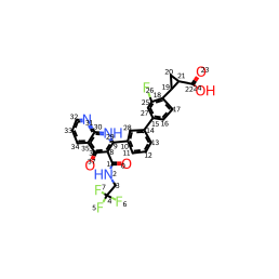 O=C(NCC(F)(F)F)c1c(-c2cccc(-c3ccc(C4CC4C(=O)O)c(F)c3)c2)[nH]c2ncccc2c1=O